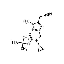 Cn1nc(CN(C(=O)OC(C)(C)C)C2CC2)cc1CC#N